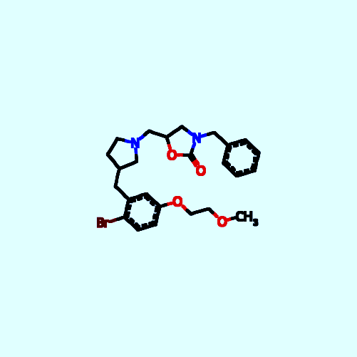 COCCOc1ccc(Br)c(CC2CCN(CC3CN(Cc4ccccc4)C(=O)O3)C2)c1